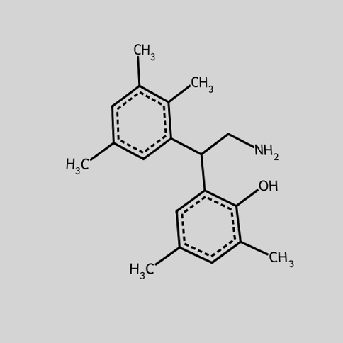 Cc1cc(C)c(C)c(C(CN)c2cc(C)cc(C)c2O)c1